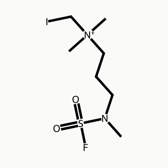 CN(CCC[N+](C)(C)CI)S(=O)(=O)F